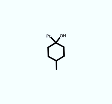 CC1CCC(O)(C(C)C)CC1